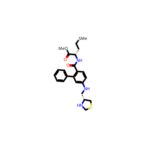 COC(=O)[C@H](CCSC)NC(=O)c1ccc(NC[C@@H]2CSCN2)cc1-c1ccccc1